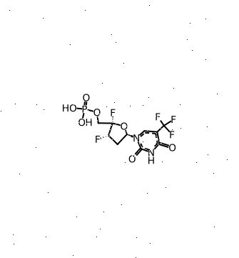 O=c1[nH]c(=O)n([C@H]2C[C@H](F)[C@@](F)(COP(=O)(O)O)O2)cc1C(F)(F)F